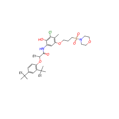 CCC(Oc1ccc(C(C)(C)CC)cc1C(C)(C)CC)C(=O)Nc1cc(OCCCS(=O)(=O)N2CCOCC2)c(C)c(Cl)c1O